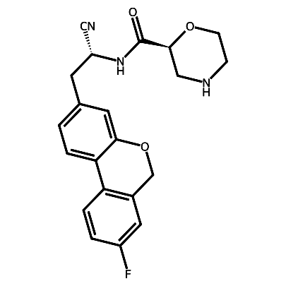 N#C[C@@H](Cc1ccc2c(c1)OCc1cc(F)ccc1-2)NC(=O)[C@@H]1CNCCO1